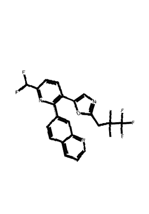 CC(C)(Cc1ncc(-c2ccc(C(F)F)nc2-c2ccc3cccnc3c2)o1)C(F)(F)F